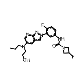 CCCN(CCO)c1cnc2nn(-c3cc(NC(=O)N4CC(F)C4)ccc3F)cc2c1